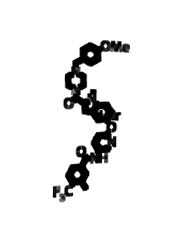 Br.COc1ccc(CN2CCN(C(=O)c3cc4cc(Oc5ccc(NC(=O)c6ccc(C(F)(F)F)c(C)c6)cn5)ccc4n3C)CC2)cc1